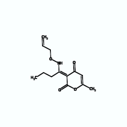 C=CCON/C(CCC)=C1\C(=O)C=C(C)OC1=O